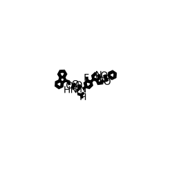 CC(C)C[C@@H](NC(=O)OCC1c2ccccc2-c2ccccc21)C(=O)Nc1ccc(-c2ccnc3c2ccn3S(=O)(=O)c2ccccc2)c(F)c1